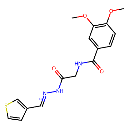 COc1ccc(C(=O)NCC(=O)N/N=C/c2ccsc2)cc1OC